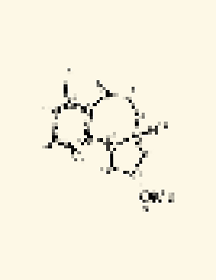 CO[C@H]1C[C@H]2CCOc3c(I)ccnc3N2C1